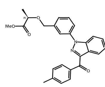 COC(=O)[C@@H](C)OCc1cccc(-n2nc(C(=O)c3ccc(C)cc3)c3ccccc32)c1